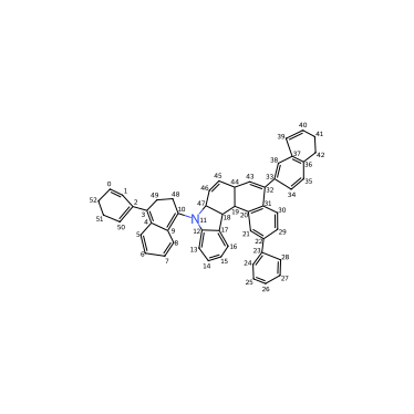 C1=CC(C2=c3ccccc3=C(N3c4ccccc4C4C5c6cc(-c7ccccc7)ccc6C(c6ccc7c(c6)C=CCC7)=CC5C=CC43)CC2)=CCC1